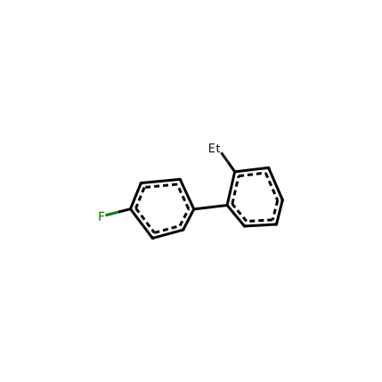 [CH2]Cc1ccccc1-c1ccc(F)cc1